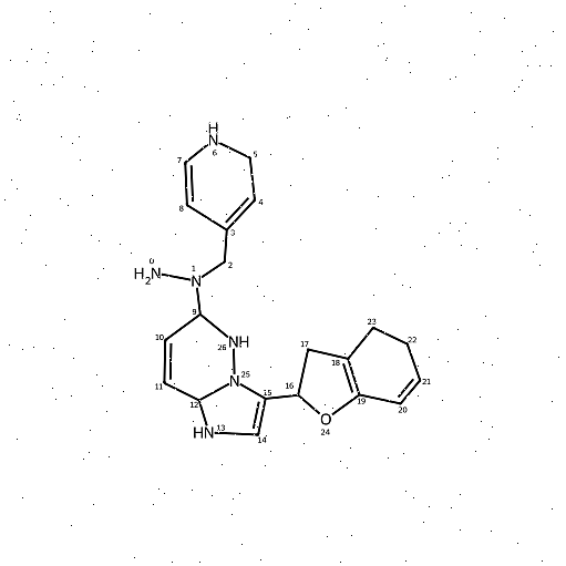 NN(CC1=CCNC=C1)C1C=CC2NC=C(C3CC4=C(C=CCC4)O3)N2N1